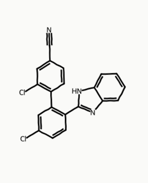 N#Cc1ccc(-c2cc(Cl)ccc2-c2nc3ccccc3[nH]2)c(Cl)c1